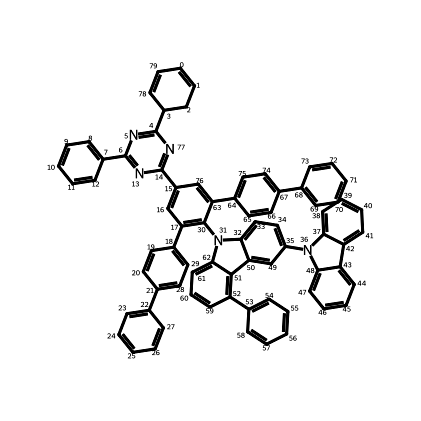 C1=CCC(c2nc(-c3ccccc3)nc(-c3cc(-c4ccc(-c5ccccc5)cc4)c(-n4c5ccc(-n6c7ccccc7c7ccccc76)cc5c5c(-c6ccccc6)cccc54)c(-c4ccc(-c5ccccc5)cc4)c3)n2)C=C1